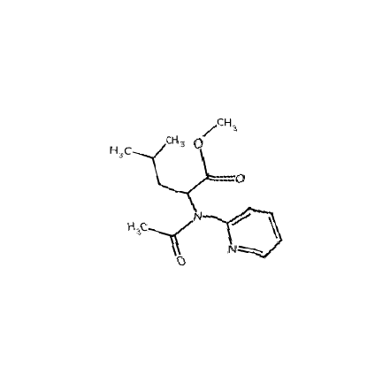 COC(=O)C(CC(C)C)N(C(C)=O)c1ccccn1